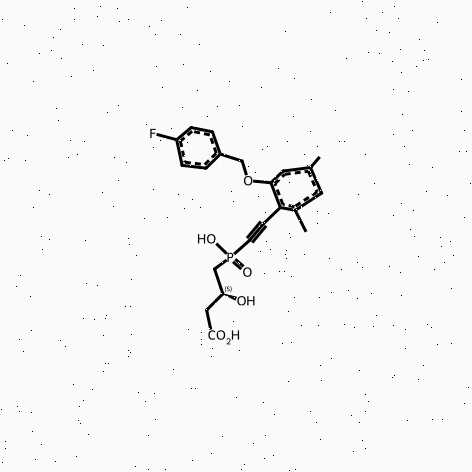 Cc1cc(C)c(C#CP(=O)(O)C[C@@H](O)CC(=O)O)c(OCc2ccc(F)cc2)c1